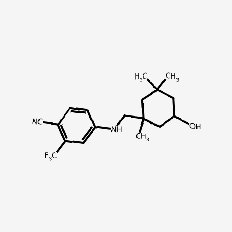 CC1(C)CC(O)CC(C)(CNc2ccc(C#N)c(C(F)(F)F)c2)C1